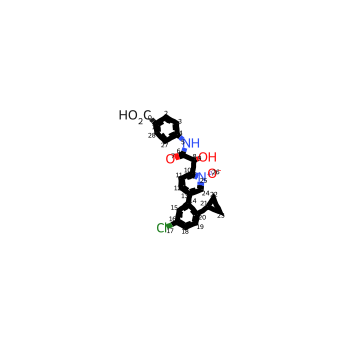 O=C(O)c1ccc(NC(=O)C(O)c2ccc(-c3cc(Cl)ccc3C3CC3)c[n+]2[O-])cc1